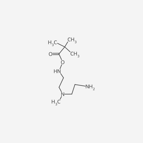 CN(CCN)CCNOC(=O)C(C)(C)C